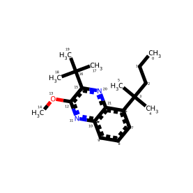 CCCC(C)(C)c1cccc2nc(OC)c(C(C)(C)C)nc12